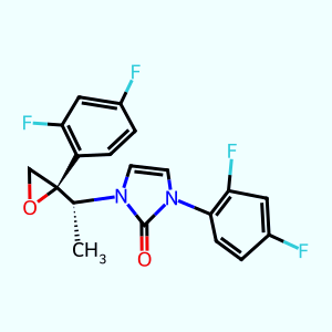 C[C@@H](n1ccn(-c2ccc(F)cc2F)c1=O)[C@@]1(c2ccc(F)cc2F)CO1